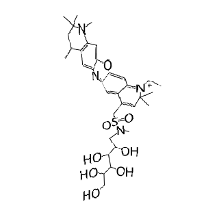 CC[N+]1=c2cc3c(cc2C(CS(=O)(=O)N(C)CC(O)C(O)C(O)C(O)CO)=CC1(C)C)=Nc1cc2c(cc1O3)N(C)C(C)(C)CC2C